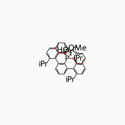 COc1ccccc1P(c1ccccc1C(=O)O)c1c(-c2c(C(C)C)cccc2C(C)C)cccc1-c1c(C(C)C)cccc1C(C)C